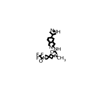 CN(CC(=O)Nc1cc2cc(-c3cn[nH]c3)ccc2cn1)C1CC2(C1)CN(C(=O)C(F)(F)F)C2